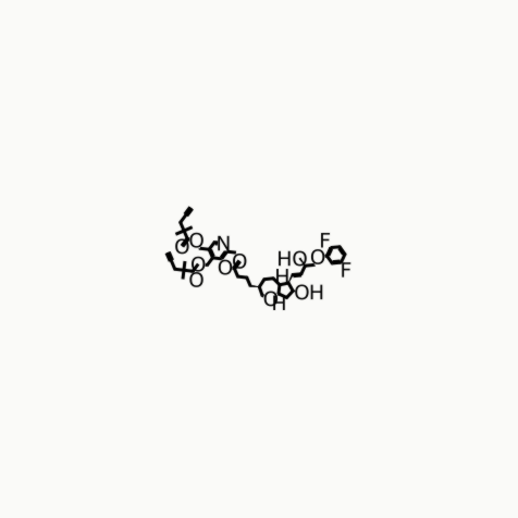 C#CCC(C)(C)C(=O)OCc1cnc(C)c(OC(=O)CCC[C@H]2CC[C@@H]3[C@@H](/C=C/[C@@H](O)COc4cc(F)ccc4F)[C@H](O)C[C@@H]3OC2)c1COC(=O)C(C)(C)CC#C